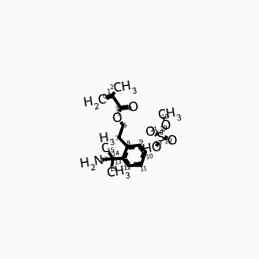 C=C(C)C(=O)OCCc1ccccc1C(C)(C)N.COS(=O)(=O)O